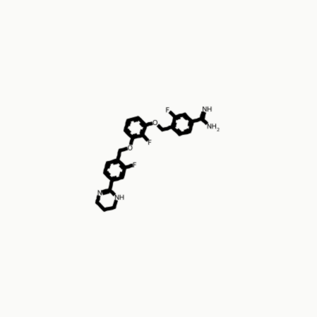 N=C(N)c1ccc(COc2cccc(OCc3ccc(C4=NCCCN4)cc3F)c2F)c(F)c1